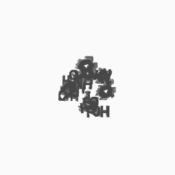 CN1[C@@H]2COC[C@H]1C[C@@H](NC(=O)c1cn(-c3cnn(Cc4ccccc4)c3)c3ccccc13)C2.O=C(O)C(F)(F)F